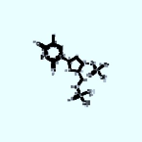 Cc1cn([C@H]2C[C@H](OP(=O)(O)C(C)C)[C@@H](COP(=O)(O)O)O2)c(=O)[nH]c1=O